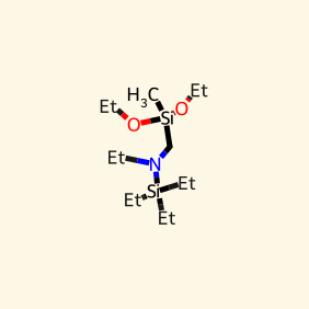 CCO[Si](C)(CN(CC)[Si](CC)(CC)CC)OCC